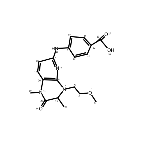 COCCN1c2nc(Nc3ccc(C(=O)O)cc3)ccc2N(C)C(=O)C1C